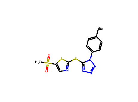 CC(C)(C)c1ccc(-n2nnnc2Sc2ncc(S(C)(=O)=O)s2)cc1